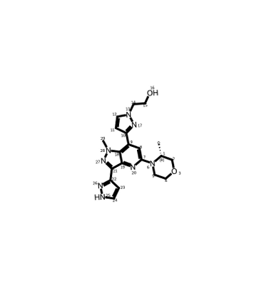 C[C@@H]1COCCN1c1cc(-c2ccn(CCO)n2)c2c(n1)c(-c1cc[nH]n1)nn2C